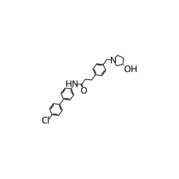 O=C(CCc1ccc(CN2CC[C@H](O)C2)cc1)Nc1ccc(-c2ccc(Cl)cc2)cc1